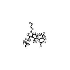 CCCCCc1cc2c(c(O)c1C(=O)OCC(F)(F)F)C1CC(C)=CCC1C(C)(C)O2